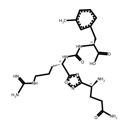 Cc1cccc(C[C@H](NC(=O)N[C@@H](CCCNC(=N)N)c2nc([C@@H](N)CCC(N)=O)no2)C(=O)O)c1